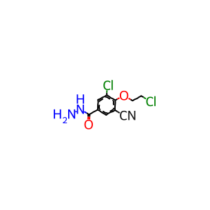 N#Cc1cc(C(=O)NN)cc(Cl)c1OCCCl